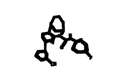 N#Cc1cccc(-c2ccc3c(n2)N(C(=O)Nc2ccc(F)cn2)C2CCCN3C2)c1